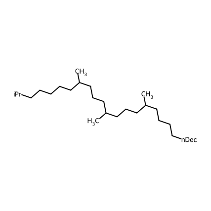 CCCCCCCCCCCCCCC(C)CCCC(C)CCCC(C)CCCCCC(C)C